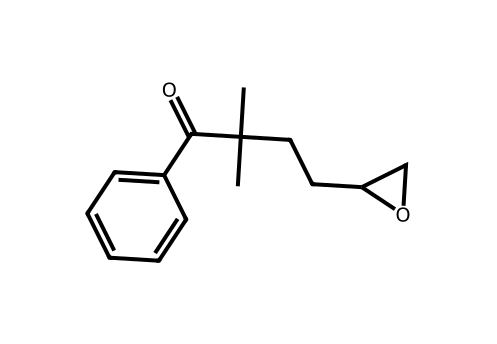 CC(C)(CCC1CO1)C(=O)c1ccccc1